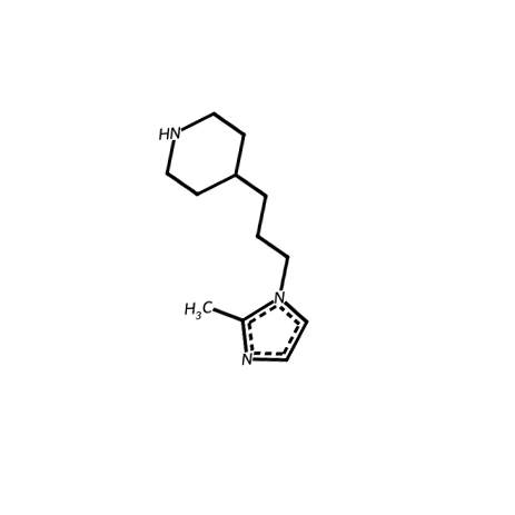 Cc1nccn1CCCC1CCNCC1